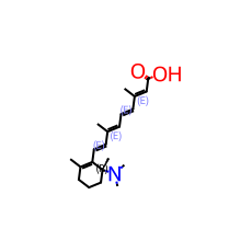 CC1=C(/C=C/C(C)=C/C=C/C(C)=C/C(=O)O)[C@](C)(N(C)C)CCC1